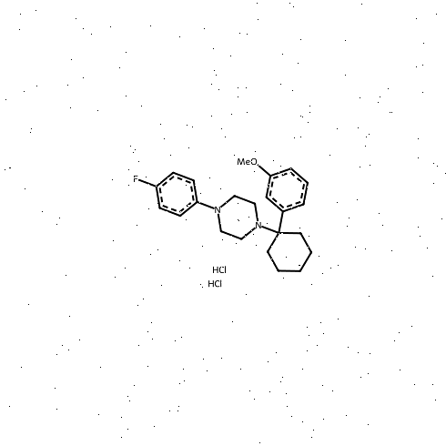 COc1cccc(C2(N3CCN(c4ccc(F)cc4)CC3)CCCCC2)c1.Cl.Cl